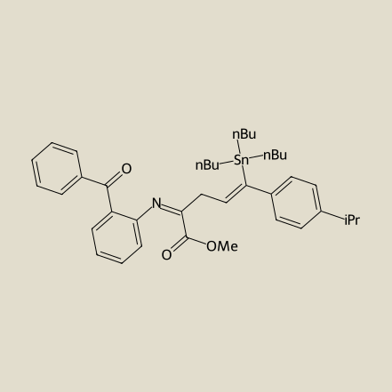 CCC[CH2][Sn]([CH2]CCC)([CH2]CCC)[C](=CCC(=Nc1ccccc1C(=O)c1ccccc1)C(=O)OC)c1ccc(C(C)C)cc1